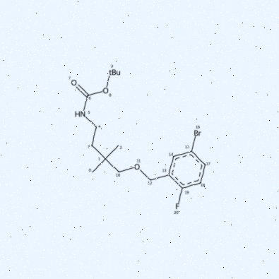 CC(C)(CCNC(=O)OC(C)(C)C)COCc1cc(Br)ccc1F